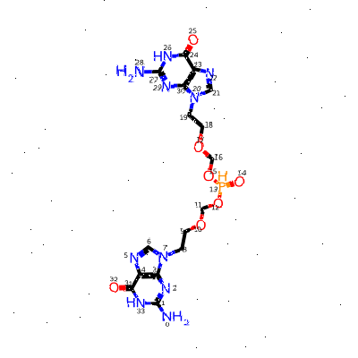 Nc1nc2c(ncn2CCOCO[PH](=O)OCOCCn2cnc3c(=O)[nH]c(N)nc32)c(=O)[nH]1